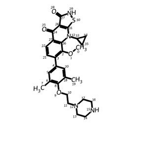 COc1c(-c2cc(C)c(OCCN3CCNCC3)c(C)c2)ccc2c(=O)c3c(=O)[nH]sc3n(C3CC3)c12